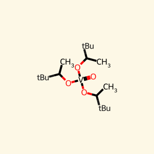 CC([O][V](=[O])([O]C(C)C(C)(C)C)[O]C(C)C(C)(C)C)C(C)(C)C